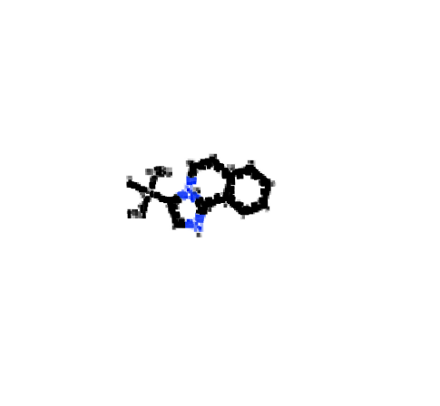 CC(C)(C)[Si](C)(c1cnc2c3ccccc3ccn12)C(C)(C)C